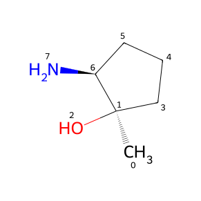 C[C@@]1(O)CCC[C@@H]1N